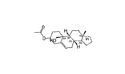 CC(=O)OC1CC[C@@]2(CO)C(=CC[C@@H]3[C@H]2CC[C@]2(C)CCC[C@@H]32)C1